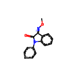 CO/N=C1/C(=O)N(c2ccccc2)c2ccccc21